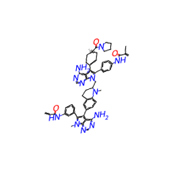 C=CC(=O)Nc1cccc(-c2c(-c3ccc4c(c3)CCC(Cn3c(-c5ccc(NC(=O)C(=C)C)cc5)c(C5=CC[C@](C)(C(=O)N6CCCC6)CC5)c5c(N)ncnc53)N4C)c3c(N)ncnc3n2C)c1